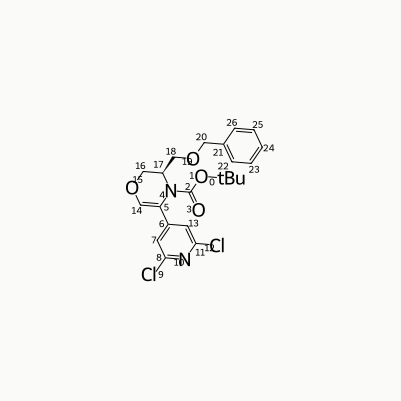 CC(C)(C)OC(=O)N1C(c2cc(Cl)nc(Cl)c2)=COC[C@H]1COCc1ccccc1